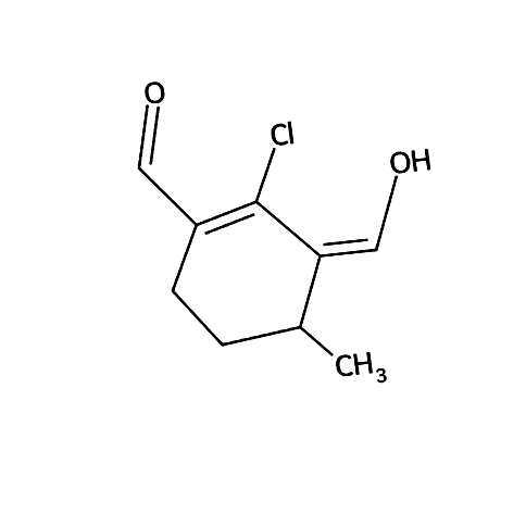 CC1CCC(C=O)=C(Cl)C1=CO